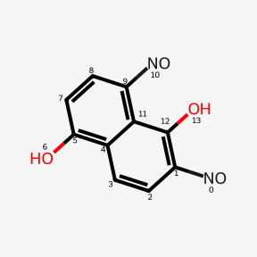 O=Nc1ccc2c(O)ccc(N=O)c2c1O